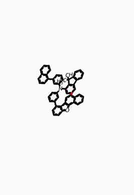 CC1(C)c2ccccc2-c2cccc(N(c3cccc(-c4cccc5ccccc45)c3)c3cccc(-c4cccc5oc6c7ccccc7ccc6c45)c3)c21